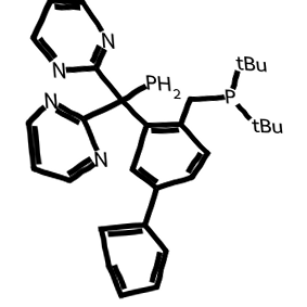 CC(C)(C)P(Cc1ccc(-c2ccccc2)cc1C(P)(c1ncccn1)c1ncccn1)C(C)(C)C